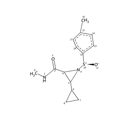 CNC(=O)C1C(C2CC2)N1[S@+]([O-])c1ccc(C)cc1